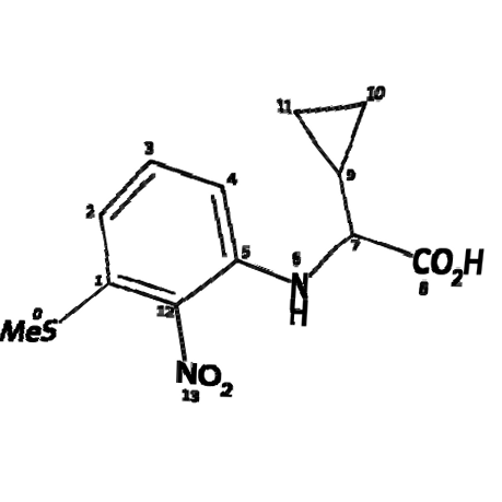 CSc1cccc(NC(C(=O)O)C2CC2)c1[N+](=O)[O-]